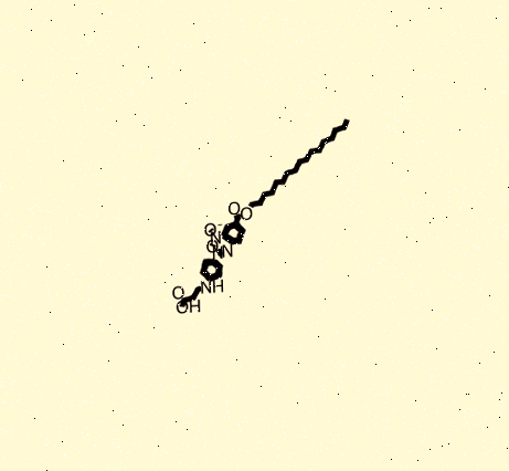 CCCCCCCCCCCCCCCCCOC(=O)c1ccc(/N=N/c2ccc(NCCC(=O)O)cc2)c([N+](=O)[O-])c1